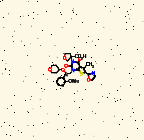 COc1ccccc1[C@H](Cn1c(=O)n(C2(C(=O)O)CCOC2)c(=O)c2c(C)c(-c3ncco3)sc21)OC1CCOCC1